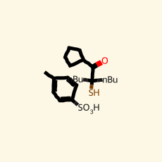 CCCCC(S)(CCCC)C(=O)C1CCCC1.Cc1ccc(S(=O)(=O)O)cc1